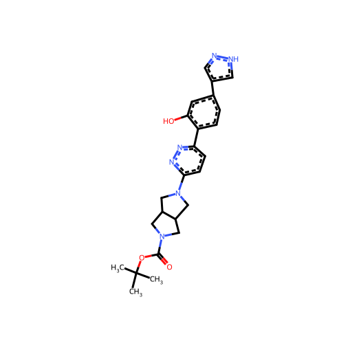 CC(C)(C)OC(=O)N1CC2CN(c3ccc(-c4ccc(-c5cn[nH]c5)cc4O)nn3)CC2C1